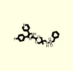 CC1(CNS(=O)(=O)Cc2ccccc2)COC(c2nc(-c3ccc(F)cc3)c(-c3ccncc3)[nH]2)OC1